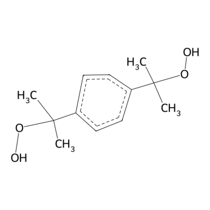 CC(C)(OO)c1ccc(C(C)(C)OO)cc1